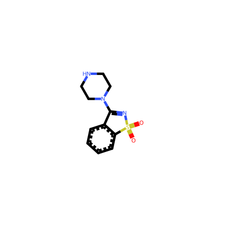 O=S1(=O)N=C(N2CCNCC2)c2ccccc21